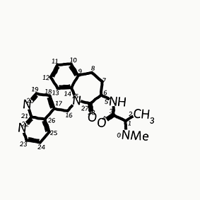 CNC(C)C(=O)NC1CCc2ccccc2N(Cc2ccnc3ncccc23)C1=O